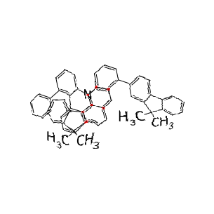 CC1(C)c2ccccc2-c2ccc(-c3cccc(N(c4cccc(-c5ccccc5)c4-c4ccccc4-c4ccccc4)c4cccc5c4-c4ccccc4C5(C)C)c3)cc21